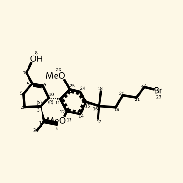 C=C(C)[C@H]1CCC(CO)=C[C@@H]1c1c(OC)cc(C(C)(C)CCCCBr)cc1OC